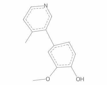 COc1cc(-c2cnccc2C)ccc1O